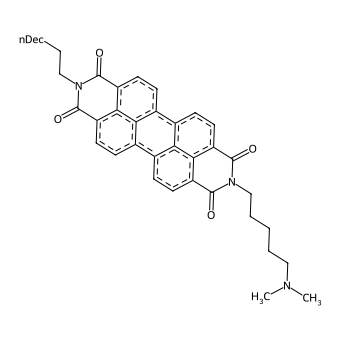 CCCCCCCCCCCCN1C(=O)c2ccc3c4ccc5c6c(ccc(c7ccc(c2c37)C1=O)c64)C(=O)N(CCCCCN(C)C)C5=O